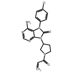 C=CC(=O)N1CCC(n2c(=O)n(-c3ccc(Cl)cc3)c3c(N)ncnc32)C1